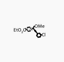 CCOC(=O)N1CCN(C(C#Cc2cccc(Cl)c2)COC)CC1